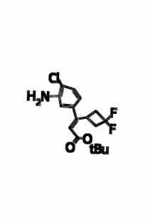 CC(C)(C)OC(=O)C=C(c1ccc(Cl)c(N)c1)C1CC(F)(F)C1